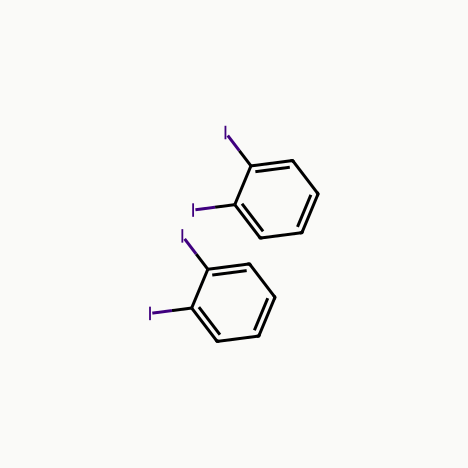 Ic1ccccc1I.Ic1ccccc1I